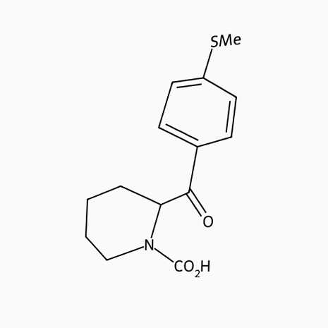 CSc1ccc(C(=O)C2CCCCN2C(=O)O)cc1